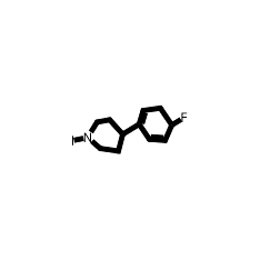 FC1C=CC(C2CCN(I)CC2)=CC1